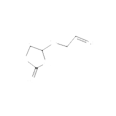 N=CCOC1COC(=O)O1